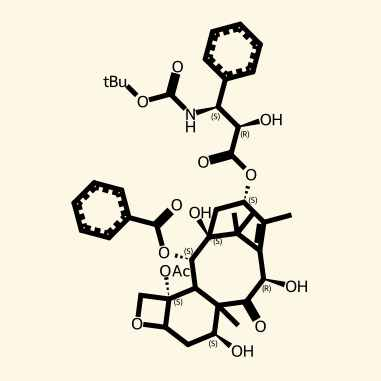 CC(=O)O[C@@]12COC1C[C@H](O)C1(C)C(=O)[C@H](O)C3=C(C)[C@@H](OC(=O)[C@H](O)[C@@H](NC(=O)OC(C)(C)C)c4ccccc4)C[C@@](O)([C@@H](OC(=O)c4ccccc4)C12)C3(C)C